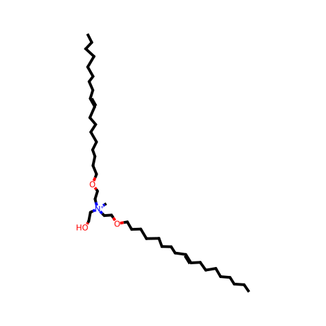 CCCCCCCCC=CCCCCCCCCOCC[N+](C)(CCO)CCOCCCCCCCCC=CCCCCCCCC